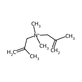 C=C(C)C[N+](C)(C)CC(=C)C